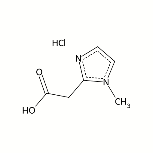 Cl.Cn1ccnc1CC(=O)O